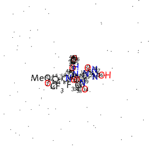 COC(=O)c1ccc(C2CCN(C(=O)[C@@H](NC(=O)[C@@H]3CN(C(=O)c4cnc(O)cn4)CC34CN(C(=O)C3(C(F)(F)F)CC3)C4)[C@@H](C)OCC34CCC(CC3)OC4)CC2)cc1C(F)(F)F